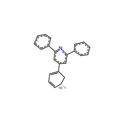 C[C@@H]1C=CC=C(c2cc(-c3ccccc3)nc(-c3ccccc3)c2)C1